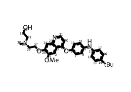 COc1cc2c(Oc3ccc(Nc4ccc(C(C)(C)C)cc4)cc3)ccnc2cc1OCCN(C)CCO